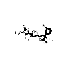 CN1CC(C(C)(C)CCCCC(C)(C(=O)O)c2cccc(Br)c2)OC1=O